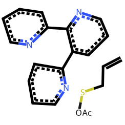 C=CCSOC(C)=O.c1ccc(-c2cccnc2-c2ccccn2)nc1